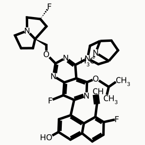 C#Cc1c(F)ccc2cc(O)cc(-c3nc(OC(C)C)c4c(N5CC6CCC(C5)N6C)nc(OC[C@@]56CCCN5C[C@H](F)C6)nc4c3F)c12